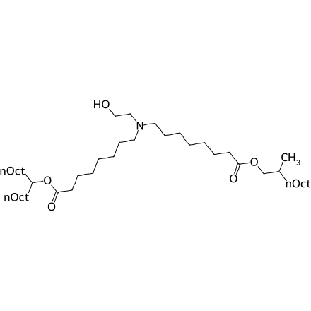 CCCCCCCCC(C)COC(=O)CCCCCCCN(CCO)CCCCCCCC(=O)OC(CCCCCCCC)CCCCCCCC